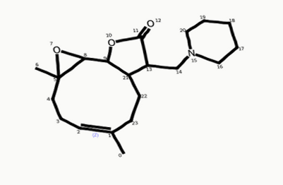 C/C1=C/CCC2(C)OC2C2OC(=O)C(CN3CCCCC3)C2CC1